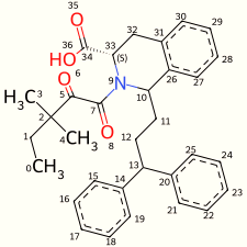 CCC(C)(C)C(=O)C(=O)N1C(CCC(c2ccccc2)c2ccccc2)c2ccccc2C[C@H]1C(=O)O